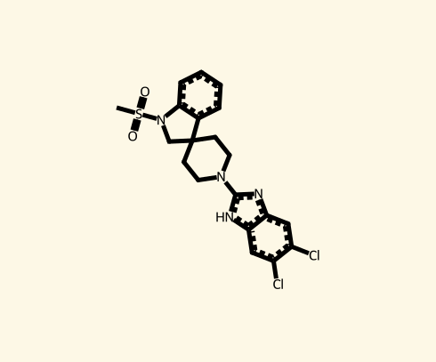 CS(=O)(=O)N1CC2(CCN(c3nc4cc(Cl)c(Cl)cc4[nH]3)CC2)c2ccccc21